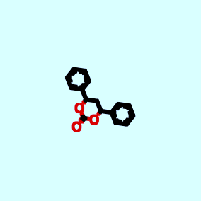 O=C1OC(c2ccccc2)CC(c2ccccc2)O1